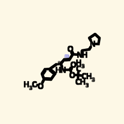 COc1ccc(C[C@@H](/C=C/C(=O)NCCN2CCCC2)NC(=O)OC(C)(C)C)cc1